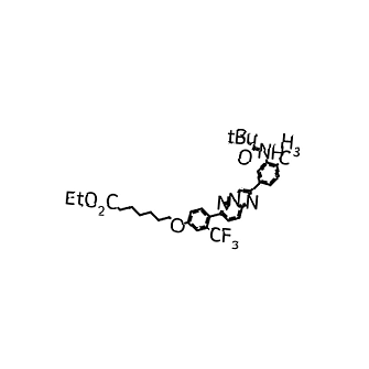 CCOC(=O)CCCCCCOc1ccc(-c2ccc3nc(-c4ccc(C)c(NC(=O)C(C)(C)C)c4)cn3n2)c(C(F)(F)F)c1